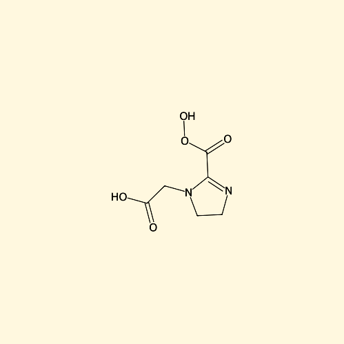 O=C(O)CN1CCN=C1C(=O)OO